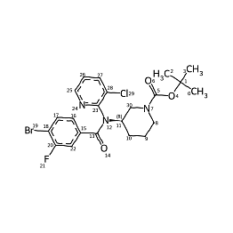 CC(C)(C)OC(=O)N1CCC[C@@H](N(C(=O)c2ccc(Br)c(F)c2)c2ncccc2Cl)C1